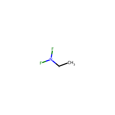 C[CH]N(F)F